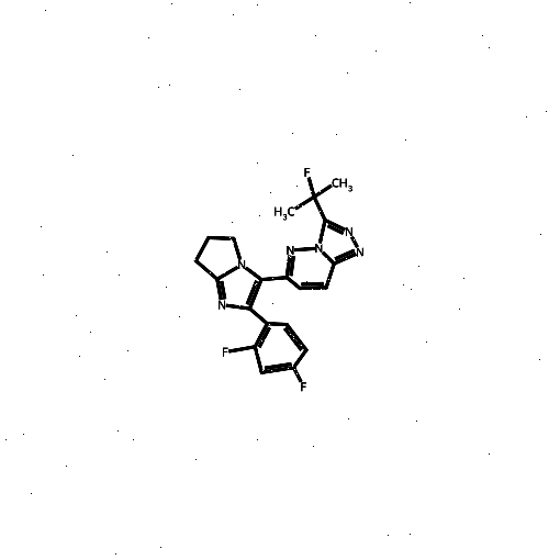 CC(C)(F)c1nnc2ccc(-c3c(-c4ccc(F)cc4F)nc4n3CCC4)nn12